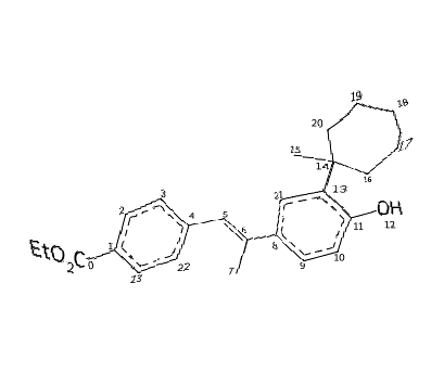 CCOC(=O)c1ccc(/C=C(\C)c2ccc(O)c(C3(C)CCCCC3)c2)cc1